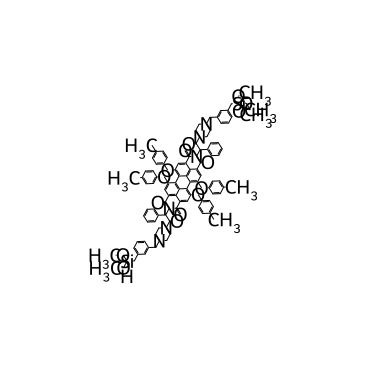 CO[SiH](Cc1cccc(CN2CCN(C(=O)C(c3ccccc3)N3C(=O)c4cc(Oc5ccc(C)cc5)c5c6c(Oc7ccc(C)cc7)cc7c8c(cc(Oc9ccc(C)cc9)c(c9c(Oc%10ccc(C)cc%10)cc(c4c59)C3=O)c86)C(=O)N(C(C(=O)N3CCN(Cc4cccc(C[Si](OC)(OC)OC)c4)CC3)c3ccccc3)C7=O)CC2)c1)OC